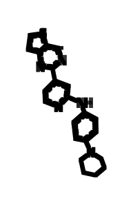 [c]1nc(-c2ccnc(Nc3ccc(N4CCCCC4)cc3)c2)nc2ccsc12